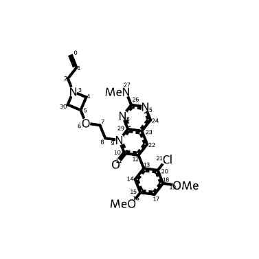 C=CCN1CC(OCCn2c(=O)c(-c3cc(OC)cc(OC)c3Cl)cc3cnc(NC)nc32)C1